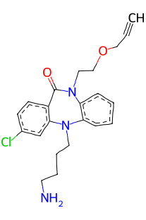 C#CCOCCN1C(=O)c2ccc(Cl)cc2N(CCCCN)c2ccccc21